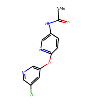 CNC(=O)Nc1ccc(Oc2cncc(Cl)c2)nc1